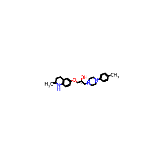 C=C1CCc2cc(OC[C@@H](O)CN3CCN(c4ccc(C)cc4)CC3)ccc2N1